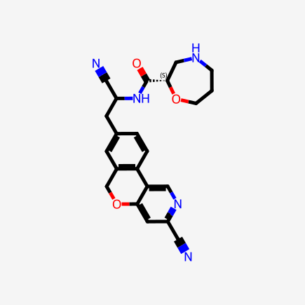 N#Cc1cc2c(cn1)-c1ccc(CC(C#N)NC(=O)[C@@H]3CNCCCO3)cc1CO2